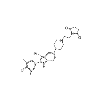 Cc1cc(-c2[nH]c3ccc(C4CCN(CCN5C(=O)CCC5=O)CC4)cc3c2C(C)C)cn(C)c1=O